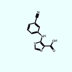 N#Cc1cccc(Nc2scnc2C(=O)O)c1